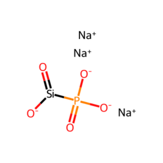 O=[Si]([O-])P(=O)([O-])[O-].[Na+].[Na+].[Na+]